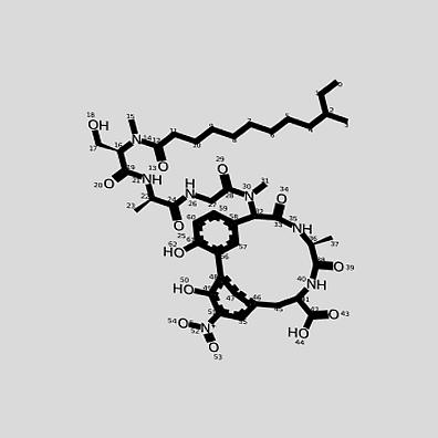 CCC(C)CCCCCCCCC(=O)N(C)[C@H](CO)C(=O)N[C@H](C)C(=O)NCC(=O)N(C)C1C(=O)N[C@@H](C)C(=O)NC(C(=O)O)Cc2cc(c(O)c([N+](=O)[O-])c2)-c2cc1ccc2O